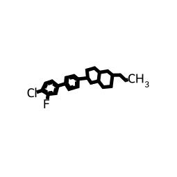 CCCC1CCC2CC(c3ccc(-c4ccc(Cl)c(F)c4)cc3)CCC2C1